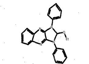 CCOC1N(c2ccccc2)c2nc3ccccc3nc2N1c1ccccc1